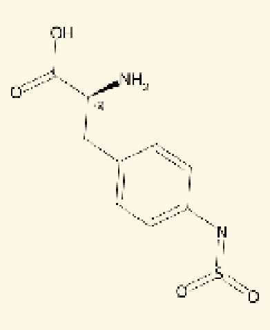 N[C@@H](Cc1ccc(N=S(=O)=O)cc1)C(=O)O